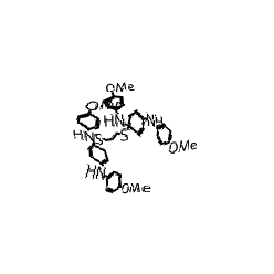 COc1ccc(NC2=CCC(Nc3ccc(OC)cc3)(SCCSC3(Nc4ccc(OC)cc4)C=CC(Nc4ccc(OC)cc4)=CC3)C=C2)cc1